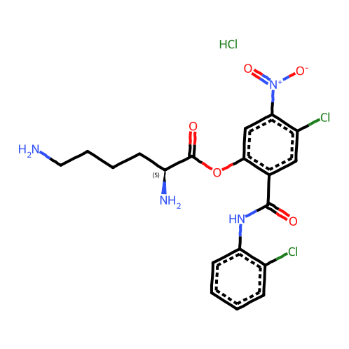 Cl.NCCCC[C@H](N)C(=O)Oc1cc([N+](=O)[O-])c(Cl)cc1C(=O)Nc1ccccc1Cl